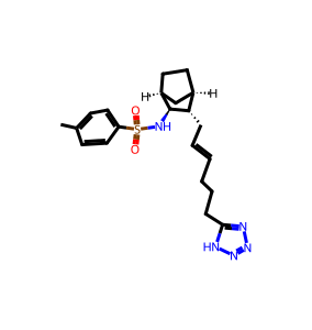 Cc1ccc(S(=O)(=O)N[C@H]2[C@H]3CC[C@H](C3)[C@@H]2CC=CCCCc2nnn[nH]2)cc1